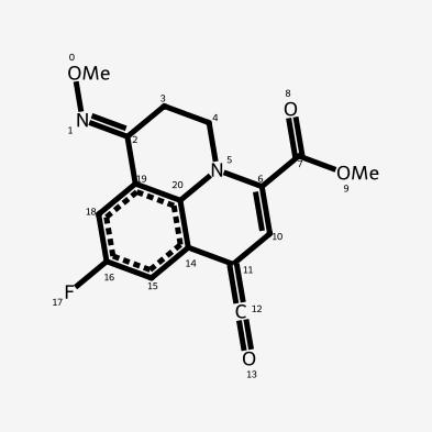 CON=C1CCN2C(C(=O)OC)=CC(=C=O)c3cc(F)cc1c32